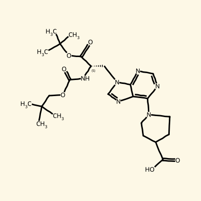 CC(C)(C)COC(=O)N[C@@H](Cn1cnc2c(N3CCC(C(=O)O)CC3)ncnc21)C(=O)OC(C)(C)C